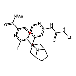 CCNC(=O)Nc1cc(CN2C3CCC2CN(c2ccc(C(=O)NC)nc2F)C3)ccn1